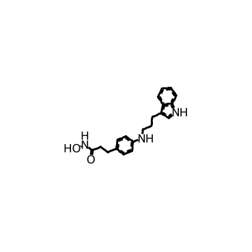 O=C(CCc1ccc(NCCCc2c[nH]c3ccccc23)cc1)NO